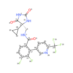 O=C1NC(=O)[C@](CNC(=O)c2ccc(F)c(F)c2-c2ccc(C(F)(F)F)nc2)(C2CC2)N1